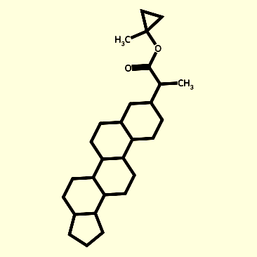 CC(C(=O)OC1(C)CC1)C1CCC2C(CCC3C2CCC2C4CCCC4CCC23)C1